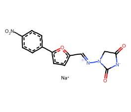 O=C1CN(/N=C/c2ccc(-c3ccc([N+](=O)[O-])cc3)o2)C(=O)[N-]1.[Na+]